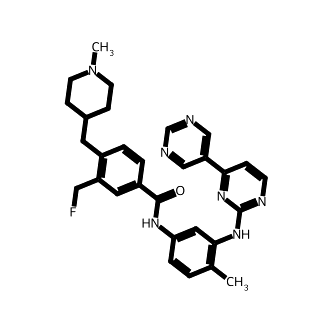 Cc1ccc(NC(=O)c2ccc(CC3CCN(C)CC3)c(CF)c2)cc1Nc1nccc(-c2cncnc2)n1